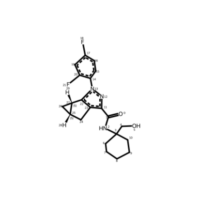 O=C(NC1(CO)CCCCC1)c1nn(-c2ccc(F)cc2F)c2c1C[C@@H]1C[C@H]21